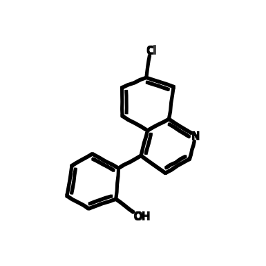 Oc1ccccc1-c1ccnc2cc(Cl)ccc12